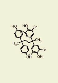 CC(CCC(C)(c1cc(Br)c(O)c(Br)c1)c1cc(Br)c(O)c(Br)c1)(c1ccc(O)cc1)c1ccc(O)cc1